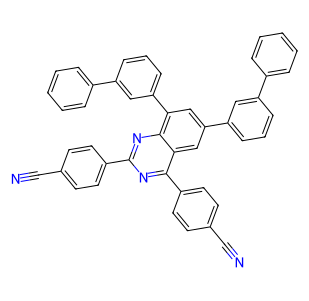 N#Cc1ccc(-c2nc(-c3ccc(C#N)cc3)c3cc(-c4cccc(-c5ccccc5)c4)cc(-c4cccc(-c5ccccc5)c4)c3n2)cc1